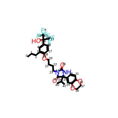 CCCc1cc(C(O)(C(F)(F)F)C(F)(F)F)ccc1OCCCCN1C(=O)NC(c2ccc3c(c2)OCCO3)(C(C)C)C1=O